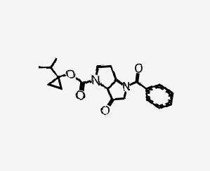 CC(C)C1(OC(=O)N2CCC3C2C(=O)CN3C(=O)c2ccccc2)CC1